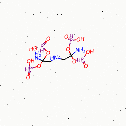 NC(CNCC(N)(O[PH](=O)O)O[PH](=O)O)(O[PH](=O)O)O[PH](=O)O